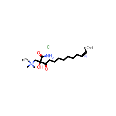 CCCCCCCC/C=C\CCCCCCCC(=O)C(O)(C[N+](C)(C)CCC)C(N)=O.[Cl-]